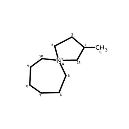 CC1CC[N+]2(CCCCCC2)C1